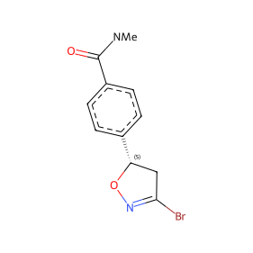 CNC(=O)c1ccc([C@@H]2CC(Br)=NO2)cc1